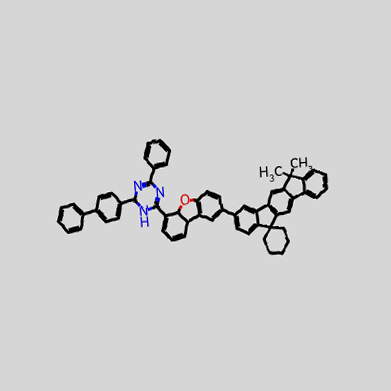 CC1(C)c2ccccc2-c2cc3c(cc21)-c1cc(-c2ccc4c(c2)C2C=CC=C(C5=NC(c6ccccc6)=NC(c6ccc(-c7ccccc7)cc6)N5)C2O4)ccc1C31CCCCC1